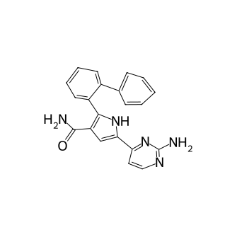 NC(=O)c1cc(-c2ccnc(N)n2)[nH]c1-c1ccccc1-c1ccccc1